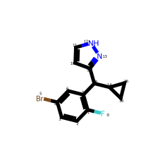 Fc1ccc(Br)cc1[C](c1cc[nH]n1)C1CC1